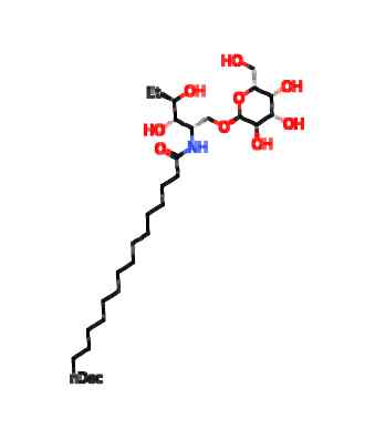 CCCCCCCCCCCCCCCCCCCCCCCCC(=O)N[C@@H](CO[C@H]1O[C@H](CO)[C@H](O)[C@H](O)[C@H]1O)[C@H](O)[C@H](O)CC